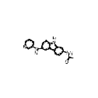 CC(=O)Nc1ccc2c(c1)[nH]c1ccc(Nc3cccnc3)cc12